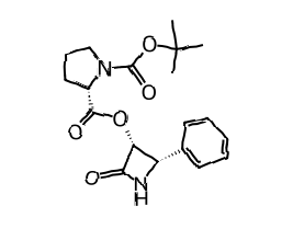 CC(C)(C)OC(=O)N1CCC[C@H]1C(=O)O[C@H]1C(=O)N[C@H]1c1ccccc1